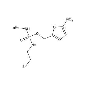 CCCNP(=O)(NCCBr)OCc1ccc([N+](=O)[O-])o1